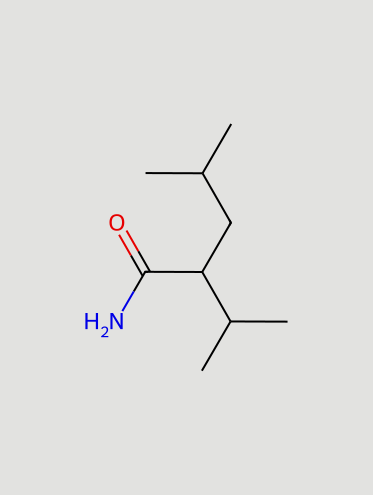 CC(C)CC(C(N)=O)C(C)C